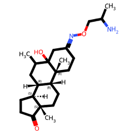 CC(N)CON=C1CC[C@]2(C)[C@@H]3CC[C@]4(C)C(=O)CC[C@H]4[C@@H]3CC(C)C2(O)C1